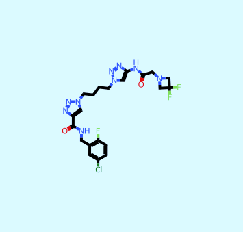 O=C(CN1CC(F)(F)C1)Nc1cn(CCCCn2cc(C(=O)NCc3cc(Cl)ccc3F)nn2)nn1